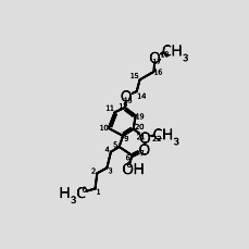 CCCCCC(C(=O)O)c1ccc(OCCCOC)cc1OC